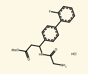 COC(=O)CC(NC(=O)CN)c1ccc(-c2ccccc2F)cc1.Cl